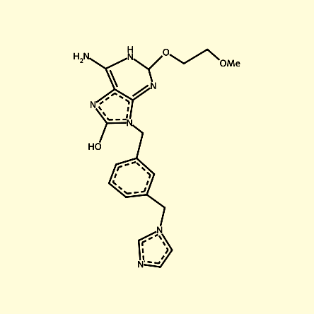 COCCOC1N=c2c(nc(O)n2Cc2cccc(Cn3ccnc3)c2)=C(N)N1